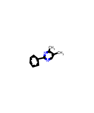 Cc1cnc(-c2ccccc2)nc1C